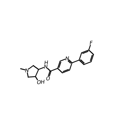 CN1CC(O)C(NC(=O)c2ccc(-c3cccc(F)c3)nc2)C1